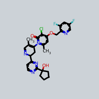 CC1=C(n2c(C)cc(OCc3ncc(F)cc3F)c(Cl)c2=O)CC(c2ccnc(C3(O)CCCC3)n2)N=C1